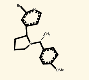 COc1ccc([C@@H](C)N2CCCC2c2ccnc(Br)c2)cc1